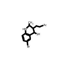 CC(=O)CCC1C(C)Nc2ccc(Br)cc2C1S